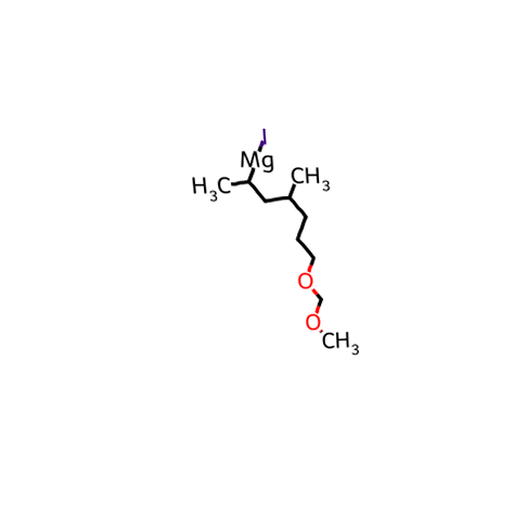 COCOCCCC(C)C[CH](C)[Mg][I]